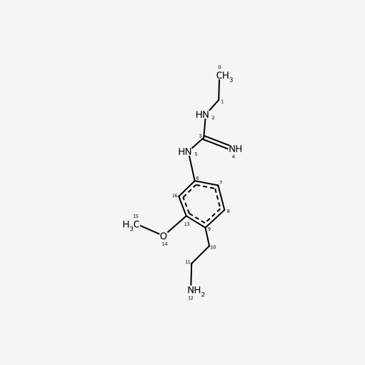 CCNC(=N)Nc1ccc(CCN)c(OC)c1